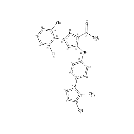 Cc1c(C#N)cnn1-c1ccc(Nc2cn(-c3c(Cl)cccc3Cl)nc2C(N)=O)cc1